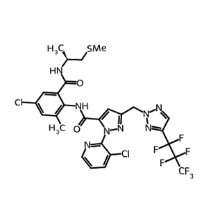 CSC[C@H](C)NC(=O)c1cc(Cl)cc(C)c1NC(=O)c1cc(Cn2ncc(C(F)(F)C(F)(F)C(F)(F)F)n2)nn1-c1ncccc1Cl